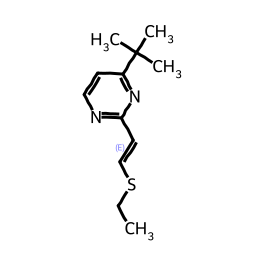 CCS/C=C/c1nccc(C(C)(C)C)n1